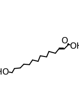 O=C(O)/C=C/CCCCCCCCCCCO